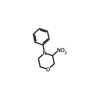 O=[N+]([O-])C1COCCN1c1ccccc1